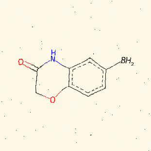 Bc1ccc2c(c1)NC(=O)CO2